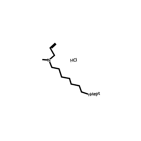 C=CCN(C)CCCCCCCCCCCCCC.Cl